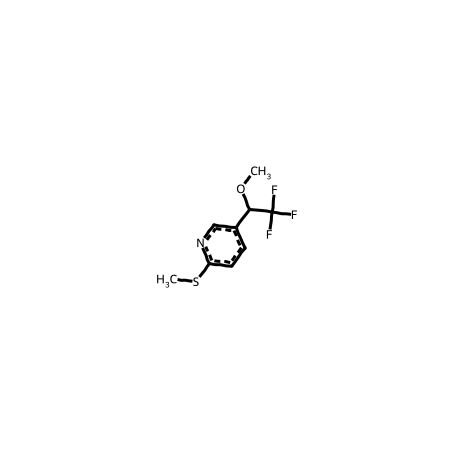 COC(c1ccc(SC)nc1)C(F)(F)F